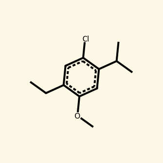 CCc1cc(Cl)c(C(C)C)cc1OC